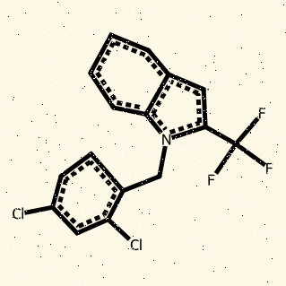 FC(F)(F)c1[c]c2ccccc2n1Cc1ccc(Cl)cc1Cl